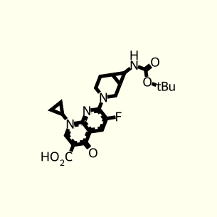 CC(C)(C)OC(=O)NC1C2CCN(c3nc4c(cc3F)c(=O)c(C(=O)O)cn4C3CC3)CC21